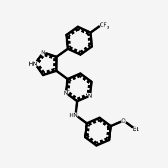 CCOc1cccc(Nc2nccc(-c3c[nH]nc3-c3ccc(C(F)(F)F)cc3)n2)c1